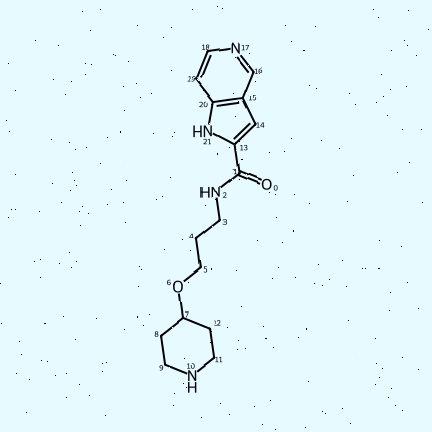 O=C(NCCCOC1CCNCC1)c1cc2cnccc2[nH]1